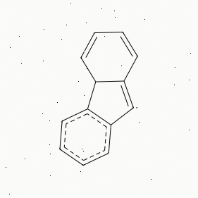 [C]1=C2C=CC=CC2c2ccccc21